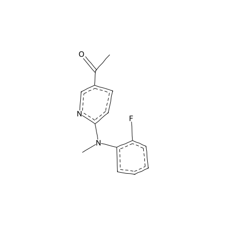 CC(=O)c1ccc(N(C)c2ccccc2F)nc1